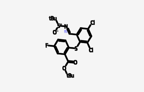 CC(C)(C)OC(=O)c1cc(F)ccc1Sc1c(Cl)cc(Cl)cc1/C=N/[S+]([O-])C(C)(C)C